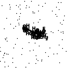 CC(C)(C)C(c1cc(-c2cc(F)ccc2F)cn1Cc1ccccc1)N(CCC(N)C(=O)NC(CCCCNC(=O)CN1C(=O)C=CC1=O)C(=O)O)C(=O)CO